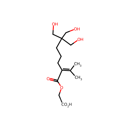 CC(C)=C(CCCC(CO)(CO)CO)C(=O)OCC(=O)O